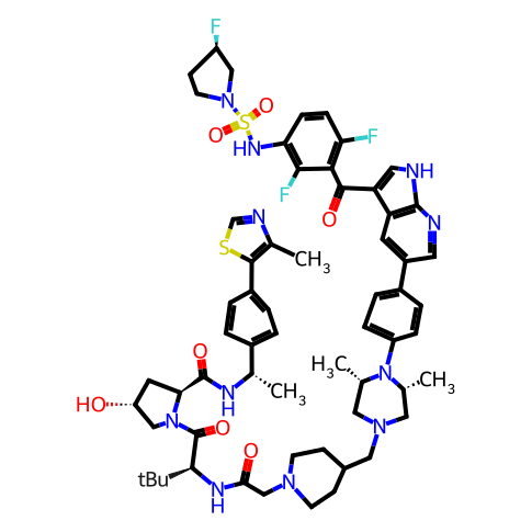 Cc1ncsc1-c1ccc([C@H](C)NC(=O)[C@@H]2C[C@@H](O)CN2C(=O)[C@@H](NC(=O)CN2CCC(CN3C[C@@H](C)N(c4ccc(-c5cnc6[nH]cc(C(=O)c7c(F)ccc(NS(=O)(=O)N8CC[C@@H](F)C8)c7F)c6c5)cc4)[C@@H](C)C3)CC2)C(C)(C)C)cc1